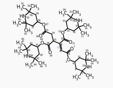 CC1(C)CC(OC(=O)/C=C(\C(=O)OC2CC(C)(C)NC(C)(C)C2)C(CC(=O)OC2CC(C)(C)NC(C)(C)C2)C(=O)OC2CC(C)(C)NC(C)(C)C2)CC(C)(C)N1